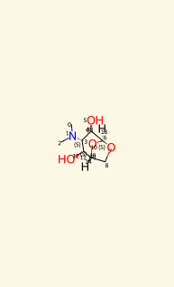 CN(C)[C@@H]1[C@@H](O)[C@H]2OC[C@@H](O2)[C@H]1O